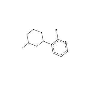 CC1CCCC(c2cccnc2F)C1